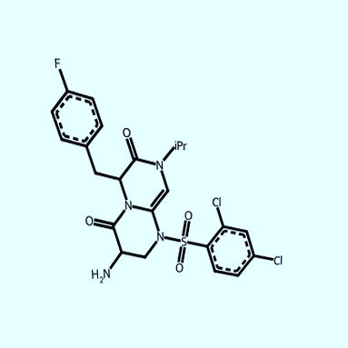 CC(C)N1C=C2N(C(=O)C(N)CN2S(=O)(=O)c2ccc(Cl)cc2Cl)C(Cc2ccc(F)cc2)C1=O